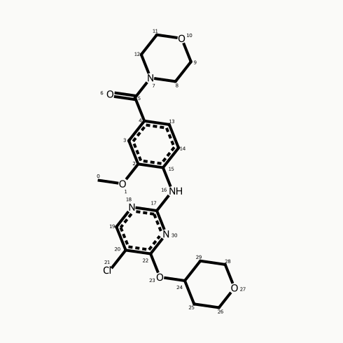 COc1cc(C(=O)N2CCOCC2)ccc1Nc1ncc(Cl)c(OC2CCOCC2)n1